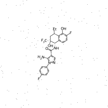 CCC1C[C@@](O)(C(F)(F)F)[C@@H](NC(=O)c2cnn(-c3ccc(F)cc3)c2N)c2ccc(F)c(O)c21